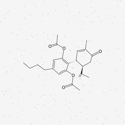 C=C(C)[C@@H]1CC(=O)C(C)=C[C@H]1c1c(OC(C)=O)cc(CCCC)cc1OC(C)=O